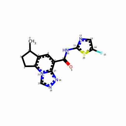 CC1CCc2c1cc(C(=O)Nc1ncc(F)s1)c1nncn21